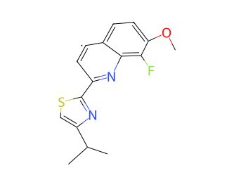 COc1ccc2[c]cc(-c3nc(C(C)C)cs3)nc2c1F